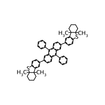 CC12CCCCC1(C)c1cc(-c3ccc4c(-c5ccccc5)c5cc(-c6ccc7c(c6)C6(C)CCCCC6(C)S7)ccc5c(-c5ccccc5)c4c3)ccc1S2